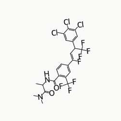 CC(NC(=O)c1ccc(/C(F)=C/C(c2cc(Cl)c(Cl)c(Cl)c2)C(F)(F)F)cc1C(F)(F)F)C(=O)N(C)C